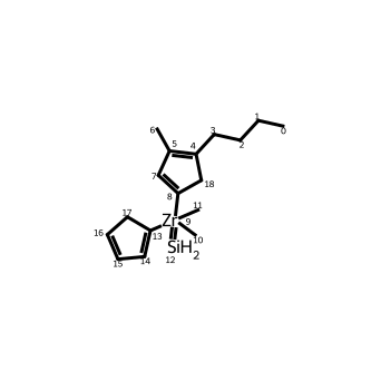 CCCCC1=C(C)C=[C]([Zr]([CH3])([CH3])(=[SiH2])[C]2=CC=CC2)C1